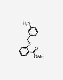 COC(=O)c1ccccc1SCc1cccc(N)c1